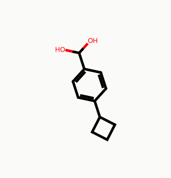 OC(O)c1ccc(C2CCC2)cc1